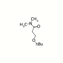 CCCCOCCC(=O)N(C)C